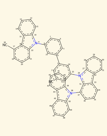 N#Cc1cc(-c2cccc(-n3c4ccccc4c4c(C#N)cccc43)c2)cc(-n2c3ccccc3c3cccc(-n4c5ccccc5c5ccccc54)c32)c1